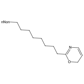 CCCCCCCCCCCCCCCCCC1=NC=CCO1